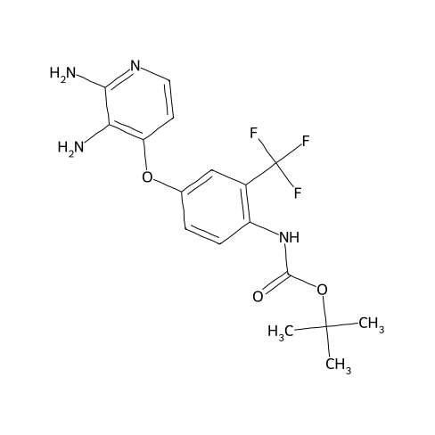 CC(C)(C)OC(=O)Nc1ccc(Oc2ccnc(N)c2N)cc1C(F)(F)F